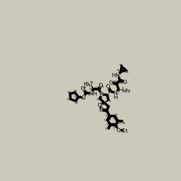 CCC[C@H](NC(=O)[C@@H]1C[C@]2(CC(c3cc(C)c(OCC)c(C)c3)=NO2)CN1C(=O)[C@@H](NC(=O)OC1CCCC1)C(C)(C)C)C(=O)C(=O)NC1CC1